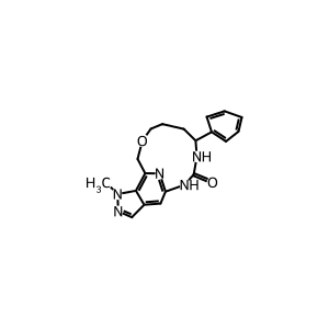 Cn1ncc2cc3nc(c21)COCCCC(c1ccccc1)NC(=O)N3